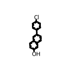 Oc1ccc2cc(-c3ccc(Cl)cc3)ccc2c1